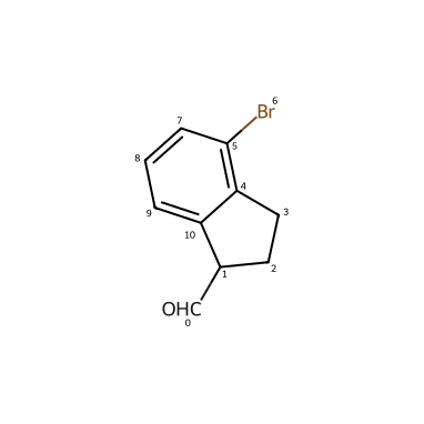 O=CC1CCc2c(Br)cccc21